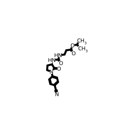 CC(C)OC(=O)CCNC(=O)N[C@H]1CCN(c2ccc(C#N)cc2)C1=O